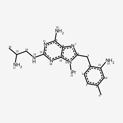 Cc1ccc(Cc2nc3c(N)nc(NCC(C)N)nc3n2C(C)C)c(N)c1